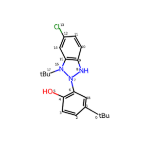 CC(C)(C)c1ccc(O)c(N2Nc3ccc(Cl)cc3N2C(C)(C)C)c1